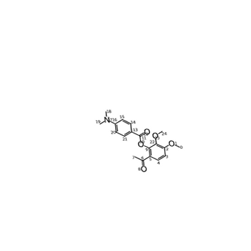 COc1ccc(C(C)=O)c(OC(=O)c2ccc(N(C)C)cc2)c1OC